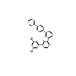 CC(C)(C)c1cc(-c2cccc3c2oc2c(-c4ccc(-c5cccnc5)cc4)cccc23)cc(C(C)(C)C)c1